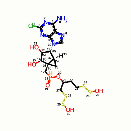 Nc1nc(Cl)nc2c1ncn2[C@H]1[C@H](O)[C@H](O)[C@@]2(C[PH](=O)OC(CCSSO)CSSO)C[C@H]12